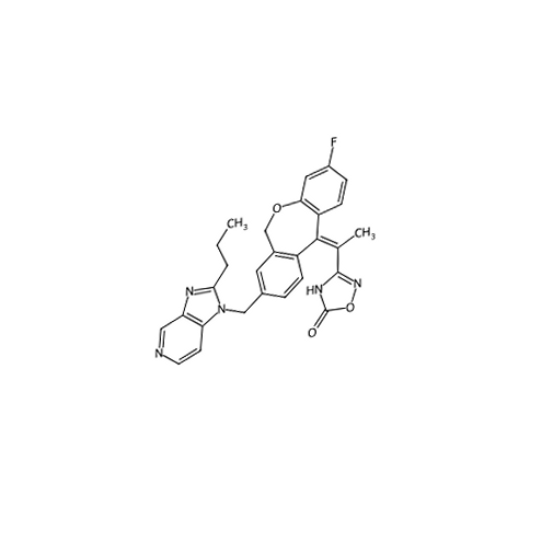 CCCc1nc2cnccc2n1Cc1ccc2c(c1)COc1cc(F)ccc1/C2=C(\C)c1noc(=O)[nH]1